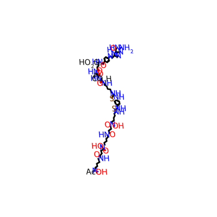 CC(=O)N(O)CCCCCNC(=O)CCC(=O)N(O)CCCCCNC(=O)CCC(=O)N(O)CCCCCNC(=S)Nc1ccc(NC(=S)NCCCCCNC(=O)CNC(=O)[C@H](CC(=O)O)NC(=O)CC[C@H](NC(=O)c2ccc(NCc3cnc4nc(N)[nH]c(=O)c4n3)cc2)C(=O)O)cc1